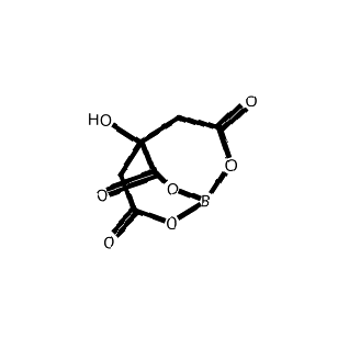 O=C1CC2(O)CC(=O)OB(O1)OC2=O